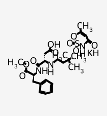 CC1=CC(=O)NS(=O)(=O)O1.COC(=O)[C@H](Cc1ccccc1)NC(=O)[C@H](CC(=O)O)NCCC(C)(C)C.[KH]